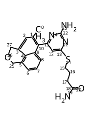 Cc1cc2c3c(cccc3c1-c1cc(SCCCC(N)=O)nc(N)n1)COC2